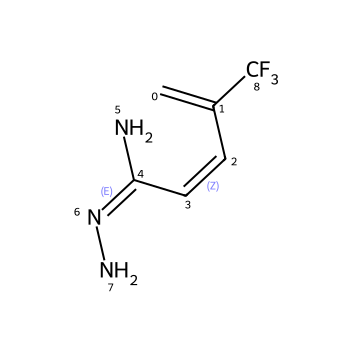 C=C(/C=C\C(N)=N/N)C(F)(F)F